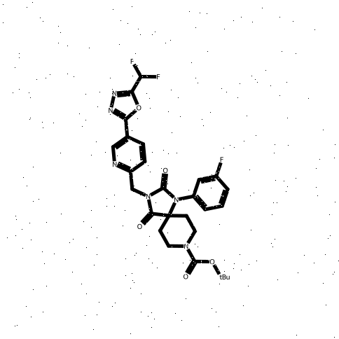 CC(C)(C)OC(=O)N1CCC2(CC1)C(=O)N(Cc1ccc(-c3nnc(C(F)F)o3)cn1)C(=O)N2c1cccc(F)c1